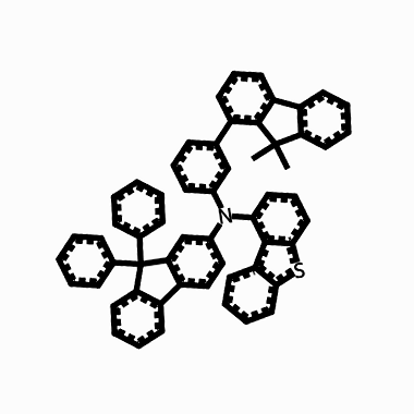 CC1(C)c2ccccc2-c2cccc(-c3cccc(N(c4ccc5c(c4)C(c4ccccc4)(c4ccccc4)c4ccccc4-5)c4cccc5sc6ccccc6c45)c3)c21